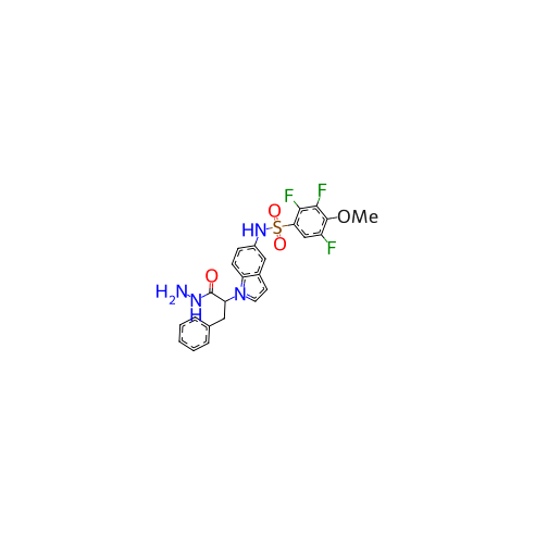 COc1c(F)cc(S(=O)(=O)Nc2ccc3c(ccn3C(Cc3ccccc3)C(=O)NN)c2)c(F)c1F